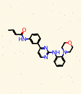 CC=CC(=O)Nc1cccc(-c2ccnc(Nc3ccccc3N3CCOCC3)n2)c1